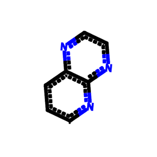 [c]1ccc2nccnc2n1